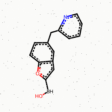 OBc1cc2cc(Cc3ccccn3)ccc2o1